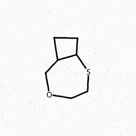 C1CSC2CCC2CO1